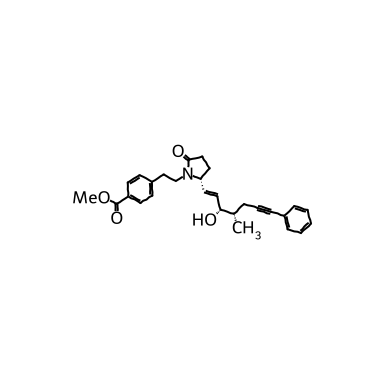 COC(=O)c1ccc(CCN2C(=O)CC[C@@H]2C=C[C@@H](O)[C@@H](C)CC#Cc2ccccc2)cc1